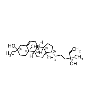 C=C[C@@](C)(O)CCC[C@H]1CC[C@H]2[C@@H]3CC=C4C[C@@](C)(O)CC[C@]4(C)[C@H]3CC[C@]12C